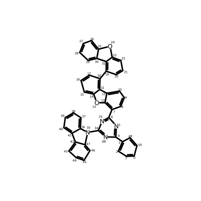 c1ccc(-c2nc(-c3cccc4c3oc3cccc(-c5cccc6oc7ccccc7c56)c34)nc(-n3c4ccccc4c4ccccc43)n2)cc1